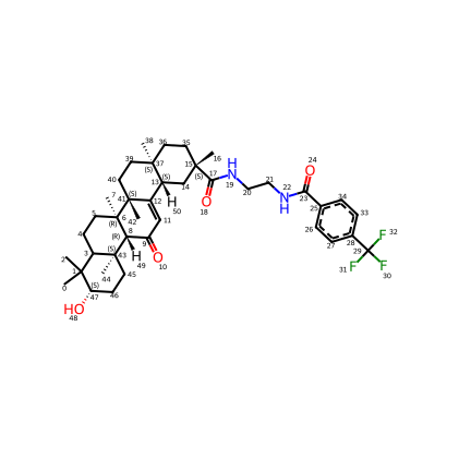 CC1(C)C2CC[C@]3(C)[C@H](C(=O)C=C4[C@H]5C[C@@](C)(C(=O)NCCNC(=O)c6ccc(C(F)(F)F)cc6)CC[C@]5(C)CC[C@]43C)[C@@]2(C)CC[C@@H]1O